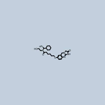 CCCC(C1CCCCC1)N(CCO)C(=O)CCCCCOc1ccc2c(c1)CN1CC(=O)NC1=N2